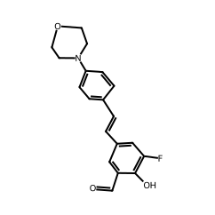 O=Cc1cc(C=Cc2ccc(N3CCOCC3)cc2)cc(F)c1O